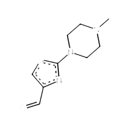 CN1CCN(c2nc(C=O)cs2)CC1